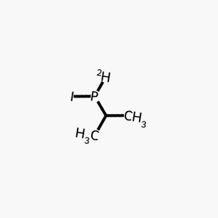 [2H]P(I)C(C)C